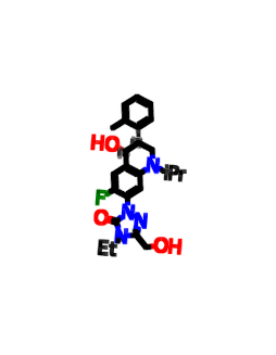 CCn1c(CO)nn(-c2cc3c(cc2F)[C@H](O)[C@H](c2ccccc2C)CN3C(C)C)c1=O